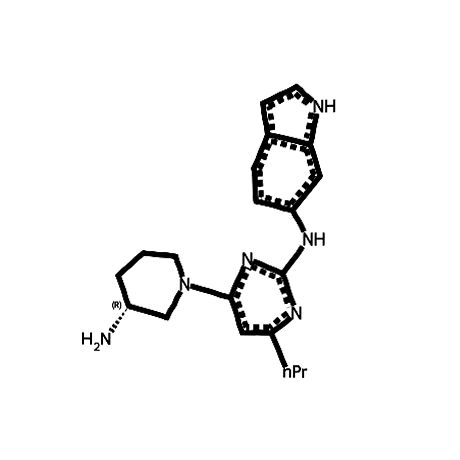 CCCc1cc(N2CCC[C@@H](N)C2)nc(Nc2ccc3cc[nH]c3c2)n1